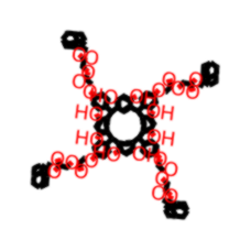 CC1(OC(=O)COC(=O)COc2ccc(C3c4cc(c(O)cc4O)C(c4ccc(OCC(=O)OCC(=O)OC5(C)C6CC7CC(C6)CC5C7)cc4)c4cc(c(O)cc4O)C(c4ccc(OCC(=O)OCC(=O)OC5(C)C6CC7CC(C6)CC5C7)cc4)c4cc(c(O)cc4O)C(c4ccc(OCC(=O)OCC(=O)OC5(C)C6CC7CC(C6)CC5C7)cc4)c4cc3c(O)cc4O)cc2)C2CC3CC(C2)CC1C3